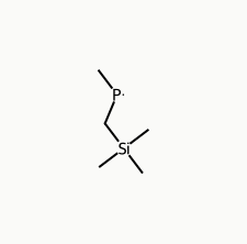 C[P]C[Si](C)(C)C